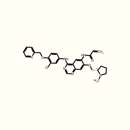 C=CC(=O)Nc1cc2c(Nc3ccc(OCc4ccccn4)c(Cl)c3)ncnc2cc1OC[C@@H]1CCCN1C